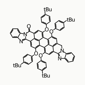 CC(C)(C)c1ccc(Oc2cc3c4c(cc(Oc5ccc(C(C)(C)C)cc5)c5c6c(Oc7ccc(C(C)(C)C)cc7)cc7c8c(cc(Oc9ccc(C(C)(C)C)cc9)c(c2c45)c68)c(=O)n2c4ccccc4nc72)-c2nc4ccccc4n2C3)cc1